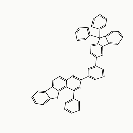 c1ccc(-c2nc(-c3cccc(-c4ccc5c(c4)-c4ccccc4C5(c4ccccc4)c4ccccc4)c3)nc3ccc4c5ccccc5sc4c23)cc1